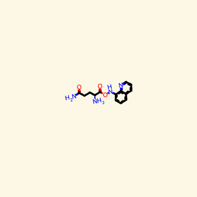 NC(=O)CC[C@H](N)C(=O)ONc1cccc2cccnc12